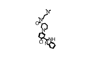 CN(C)CCCN(C)C(=O)[C@@H]1CCCN(c2ccc(Cl)c(-c3nc4ccccc4[nH]3)c2)C1